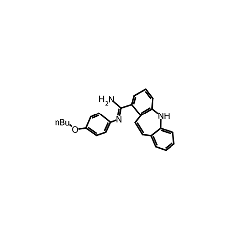 CCCCOc1ccc(N=C(N)c2cccc3c2C=Cc2ccccc2N3)cc1